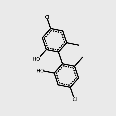 Cc1cc(Cl)cc(O)c1-c1c(C)cc(Cl)cc1O